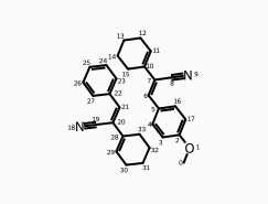 COc1ccc(C=C(C#N)C2=CCCCC2)cc1.N#CC(=Cc1ccccc1)C1=CCCCC1